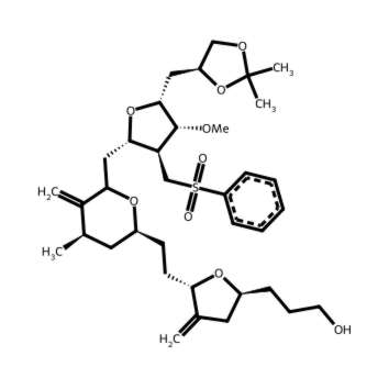 C=C1C(C[C@@H]2O[C@H](C[C@H]3COC(C)(C)O3)[C@H](OC)[C@H]2CS(=O)(=O)c2ccccc2)O[C@@H](CC[C@@H]2O[C@@H](CCCO)CC2=C)C[C@H]1C